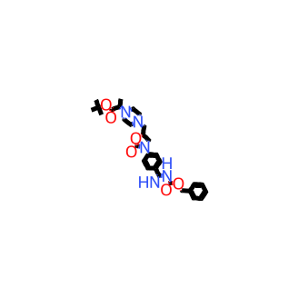 CC(C(=O)OC(C)(C)C)N1CCN(CC2CN(c3ccc(C(=N)NC(=O)OCc4ccccc4)cc3)C(=O)O2)CC1